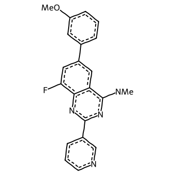 CNc1nc(-c2cccnc2)nc2c(F)cc(-c3cccc(OC)c3)cc12